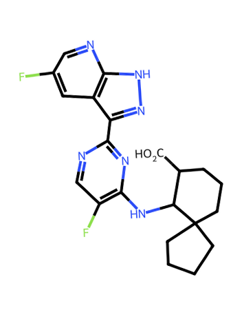 O=C(O)C1CCCC2(CCCC2)C1Nc1nc(-c2n[nH]c3ncc(F)cc23)ncc1F